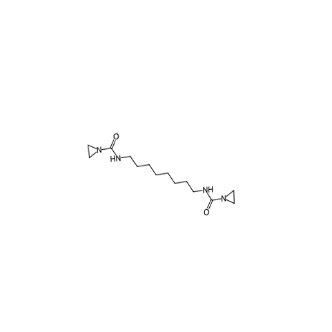 O=C(NCCCCCCCCNC(=O)N1CC1)N1CC1